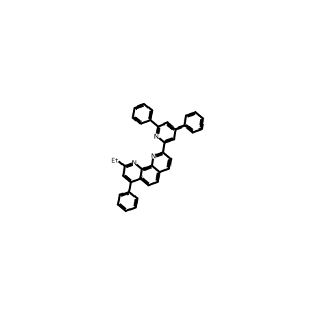 CCc1cc(-c2ccccc2)c2ccc3ccc(-c4cc(-c5ccccc5)cc(-c5ccccc5)n4)nc3c2n1